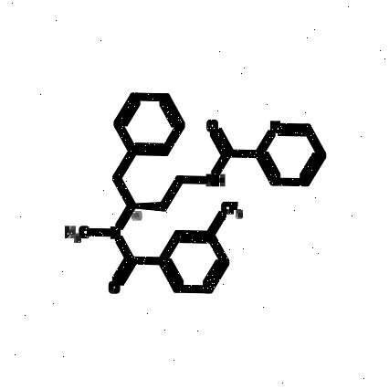 CN(C(=O)c1cccc(C(F)(F)F)c1)[C@H](CCNC(=O)c1ccccn1)Cc1ccccc1